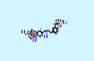 CCC(C)(C)S(=O)(=O)NC1CCC(CNCCc2cccc(CC(=O)OC)c2)CC1